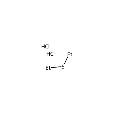 CCSCC.Cl.Cl